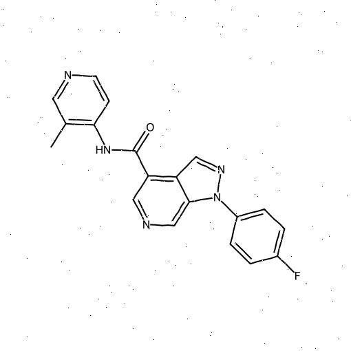 Cc1cnccc1NC(=O)c1cncc2c1cnn2-c1ccc(F)cc1